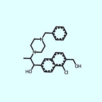 CC(C(O)c1ccc2c(Cl)c(CO)ccc2c1)N1CCN(Cc2ccccc2)CC1